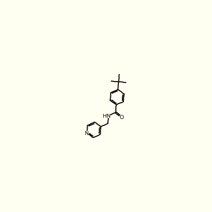 CC(C)(C)c1ccc(C(=O)NCc2ccncc2)cc1